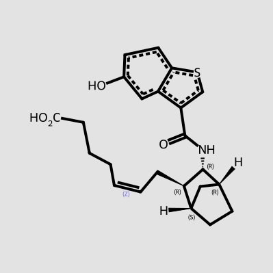 O=C(O)CCC/C=C\C[C@@H]1[C@H]2CC[C@H](C2)[C@H]1NC(=O)c1csc2ccc(O)cc12